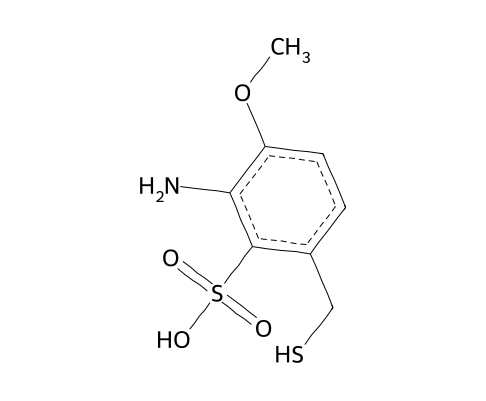 COc1ccc(CS)c(S(=O)(=O)O)c1N